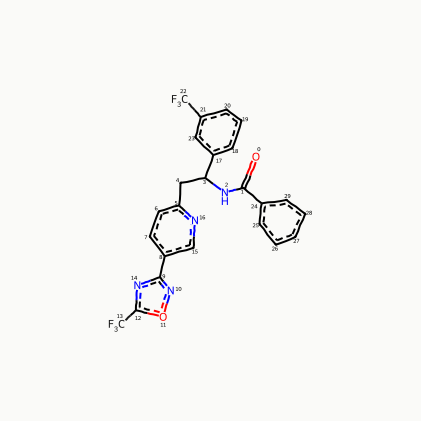 O=C(NC(Cc1ccc(-c2noc(C(F)(F)F)n2)cn1)c1cccc(C(F)(F)F)c1)c1ccccc1